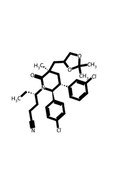 CC[C@@H](CCC#N)N1C(=O)[C@@](C)(CC2COC(C)(C)O2)C[C@H](c2cccc(Cl)c2)[C@H]1c1ccc(Cl)cc1